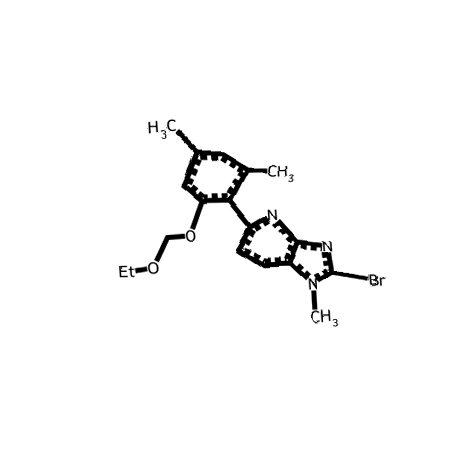 CCOCOc1cc(C)cc(C)c1-c1ccc2c(n1)nc(Br)n2C